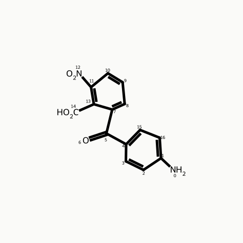 Nc1ccc(C(=O)c2cccc([N+](=O)[O-])c2C(=O)O)cc1